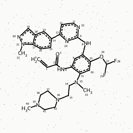 C=CC(=O)Nc1cc(Nc2nccc(-c3ccc4c(cnn4C)c3)n2)c(OC(F)F)cc1N(C)CCN1CCN(C)CC1